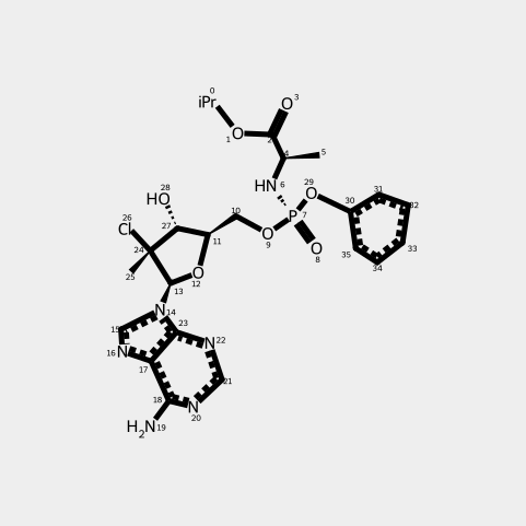 CC(C)OC(=O)[C@@H](C)N[P@](=O)(OC[C@H]1O[C@@H](n2cnc3c(N)ncnc32)[C@](C)(Cl)[C@@H]1O)Oc1ccccc1